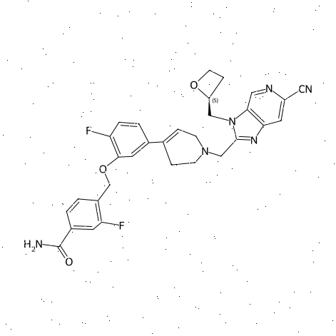 N#Cc1cc2nc(CN3CC=C(c4ccc(F)c(OCc5ccc(C(N)=O)cc5F)c4)CC3)n(C[C@@H]3CCO3)c2cn1